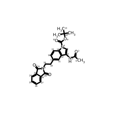 CC(=O)Nc1cn(C(=O)OC(C)(C)C)c2ccc(CCN3C(=O)c4ccccc4C3=O)cc12